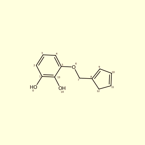 Oc1cccc(OCC2=CC=CC2)c1O